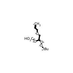 C=CCOCC(OOC(C)(C)C)OC(=O)O